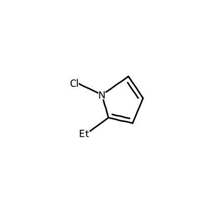 CCc1cccn1Cl